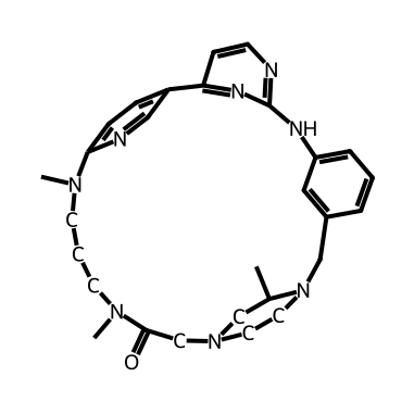 CC1CN2CCN1Cc1cccc(c1)Nc1nccc(n1)-c1ccc(nc1)N(C)CCCN(C)C(=O)C2